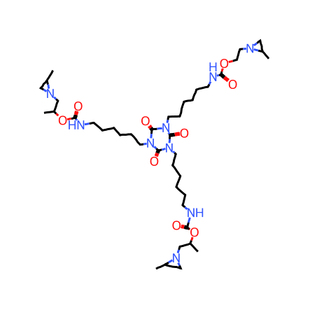 CC(CN1CC1C)OC(=O)NCCCCCCn1c(=O)n(CCCCCCNC(=O)OCCN2CC2C)c(=O)n(CCCCCCNC(=O)OC(C)CN2CC2C)c1=O